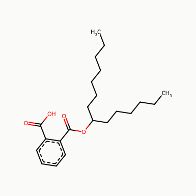 CCCCCCCC(CCCCCC)OC(=O)c1ccccc1C(=O)O